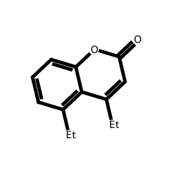 CCc1cccc2oc(=O)cc(CC)c12